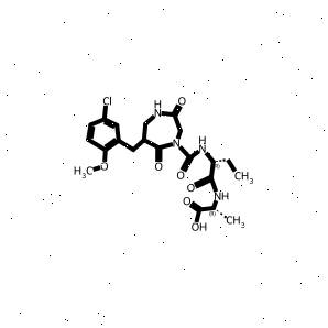 CC[C@@H](NC(=O)N1CC(=O)NCC(Cc2cc(Cl)ccc2OC)C1=O)C(=O)N[C@H](C)C(=O)O